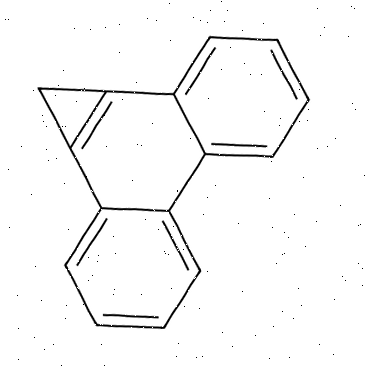 c1ccc2c(c1)c1c(c3ccccc32)C1